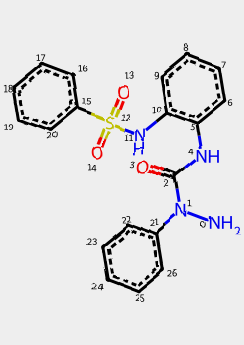 NN(C(=O)Nc1ccccc1NS(=O)(=O)c1ccccc1)c1ccccc1